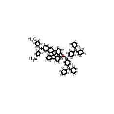 Cc1ccc(N(c2ccc(C)cc2)c2ccc3cc4c(cc3c2)C2(c3ccccc3-c3ccccc32)c2c-4ccc3cc(N(c4ccc(N(c5ccccc5)c5ccccc5)cc4)c4ccc(N(c5ccccc5)c5ccccc5)cc4)ccc23)cc1